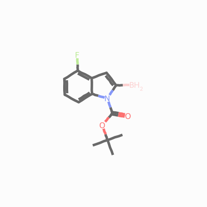 Bc1cc2c(F)cccc2n1C(=O)OC(C)(C)C